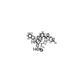 CCC(CC)[C@@H]1C(=O)N[C@H](C2Cc3ccccc3C2)C(=O)N1Cc1ccccc1NC(=O)C1CCN(C)CC1.O=CO